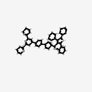 c1ccc(-c2sc3c(c(-c4ccc(-c5ccc(-c6cc(-c7ccccn7)nc(-c7ccccn7)c6)cc5)cc4)nc4ccccc43)c2-c2ccccc2)cc1